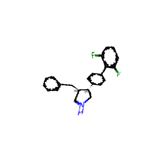 Fc1cccc(F)c1-c1ccc([C@@H]2CNC[C@H]2Cc2ccccc2)cc1